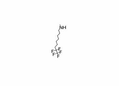 CNCCCCCCCC(F)(F)C(F)(F)F